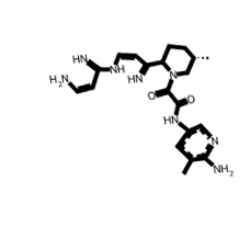 Cc1cc(NC(=O)C(=O)N2C[C@@H](C)CCC2C(=N)/C=C\NC(=N)/C=C\N)cnc1N